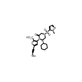 Cn1nccc1S(=O)(=O)N1CC(=O)N(c2cc(C#CC(C)(C)C)sc2C(=O)O)[C@H](C2CCCCC2)C1